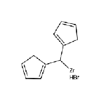 Br.[Zr][CH](C1=CC=CC1)C1=CC=CC1